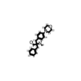 CN(C)C(C=O)(Cc1ccccc1)Cc1ccc(N2CCOCC2)cc1